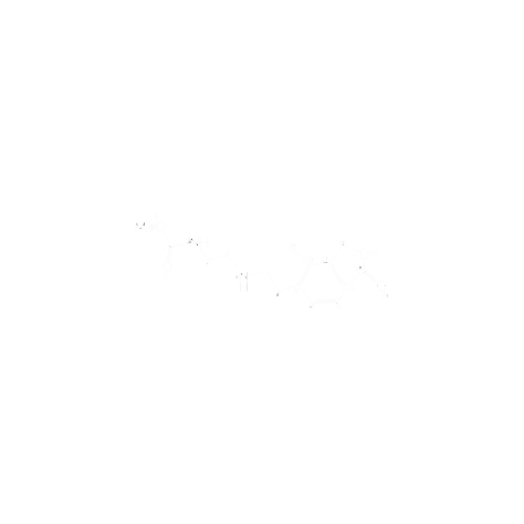 COC(=O)NCCNCCc1ccc2c(c1C)COC2=O